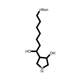 CCCCCCCCCCCCCCCC(O)C1CNCC1O